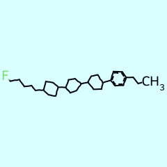 CCCc1ccc(C2CCC(C3CCC(C4CCC(CCCCCF)CC4)CC3)CC2)cc1